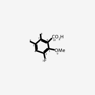 COc1c(F)cc(C)c(C)c1C(=O)O